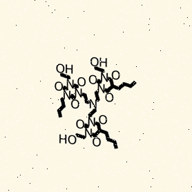 CCCCC1C(=O)N(CCO)C(=O)N(CCN(CCN2C(=O)C(CCCC)C(=O)N(CCO)C2=O)CCn2c(=O)n(CCO)c(=O)n(CCCC)c2=O)C1=O